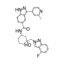 Cc1cc(-c2n[nH]c3ccc(C(=O)N[C@@H]4CCC[C@@](O)(Cn5cc6c(F)cccc6n5)C4)cc23)ccn1